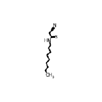 CCCCCCCCCNC(=S)CC#N